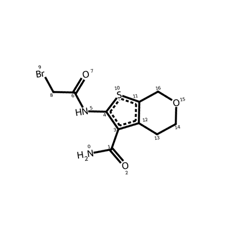 NC(=O)c1c(NC(=O)CBr)sc2c1CCOC2